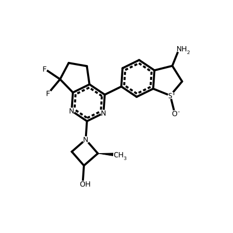 C[C@H]1C(O)CN1c1nc(-c2ccc3c(c2)[S+]([O-])CC3N)c2c(n1)C(F)(F)CC2